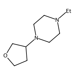 CCN1CCN(C2CCOC2)CC1